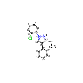 N#CCc1nn(-c2ccccc2Cl)cc1-c1ccccc1